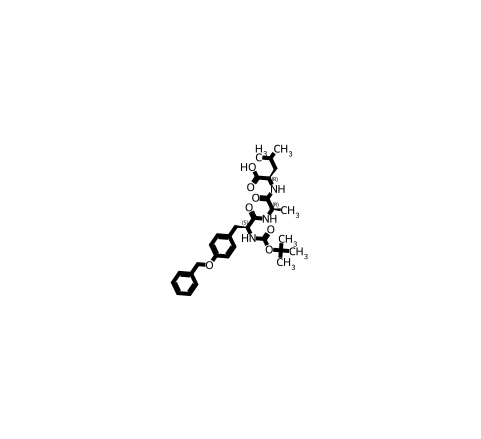 CC(C)C[C@@H](NC(=O)[C@@H](C)NC(=O)[C@H](Cc1ccc(OCc2ccccc2)cc1)NC(=O)OC(C)(C)C)C(=O)O